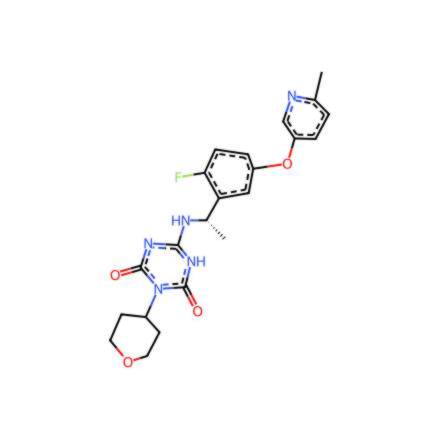 Cc1ccc(Oc2ccc(F)c([C@H](C)Nc3nc(=O)n(C4CCOCC4)c(=O)[nH]3)c2)cn1